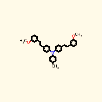 COc1cccc(C=Cc2ccc(N(c3ccc(C)cc3)c3ccc(C=Cc4cccc(OC)c4)cc3)cc2)c1